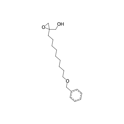 OCC1(CCCCCCCCCOCc2ccccc2)CO1